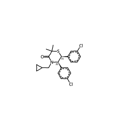 CC1(C)S[C@@H](c2cccc(Cl)c2)[C@@H](c2ccc(Cl)cc2)N(CC2CC2)C1=O